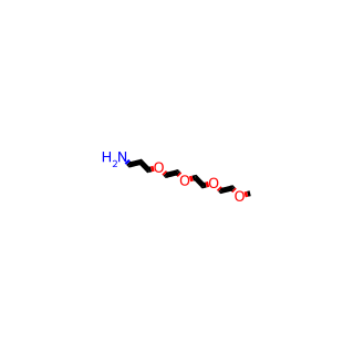 COCCOCCOCCOCCCN